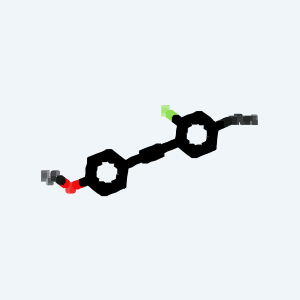 CCCCCc1ccc(C#Cc2ccc(OC(F)(F)F)cc2)c(F)c1